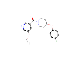 O=C(c1cncc(OCC(F)(F)F)c1)N1CCC(Oc2ccc(Cl)cc2)CC1